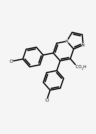 O=C(O)c1c(-c2ccc(Cl)cc2)c(-c2ccc(Cl)cc2)cn2ccnc12